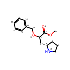 COC(=O)C(C[C@@H]1CCCN1)OCc1ccccc1